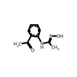 CC(=O)c1ccccc1NC(C)=NO